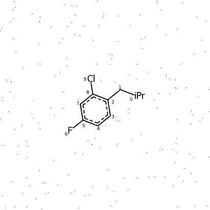 CC(C)Cc1ccc(F)cc1Cl